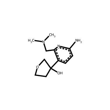 CN(C)Cc1nc(N)ccc1C1(O)CCOC1